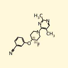 Cc1ncc(C)c(N2CC[C@H](Oc3cccc(C#N)c3)[C@@H](F)C2)n1